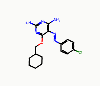 Nc1nc(N)c(N=Nc2ccc(Cl)cc2)c(OCC2CCCCC2)n1